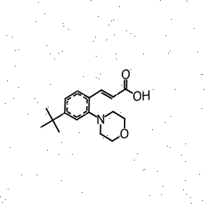 CC(C)(C)c1ccc(C=CC(=O)O)c(N2CCOCC2)c1